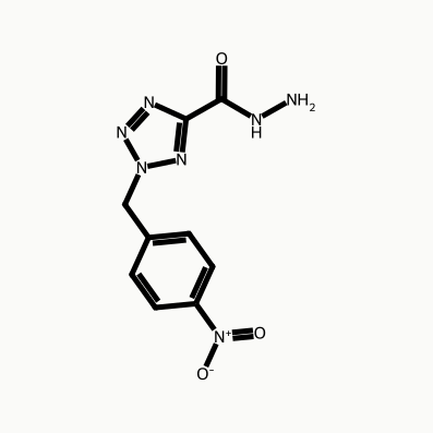 NNC(=O)c1nnn(Cc2ccc([N+](=O)[O-])cc2)n1